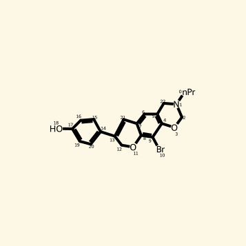 CCCN1COc2c(cc3c(c2Br)OCC(c2ccc(O)cc2)=C3)C1